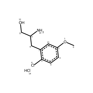 COc1ccc(Cl)c(CC(N)CO)c1.Cl